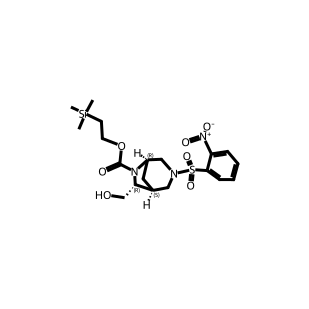 C[Si](C)(C)CCOC(=O)N1[C@@H]2C[C@@H](CN(S(=O)(=O)c3ccccc3[N+](=O)[O-])C2)[C@@H]1CO